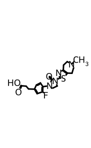 CN1CCc2nc(N3CCN(c4ccc(CCC(=O)O)cc4F)C3=O)sc2CC1